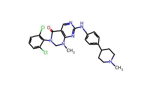 CN1CCC(c2ccc(Nc3ncc4c(n3)N(C)CN(c3c(Cl)cccc3Cl)C4=O)cc2)CC1